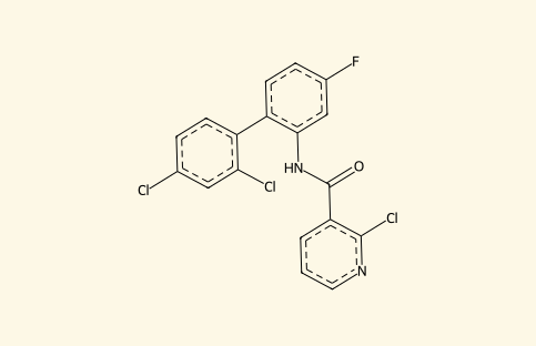 O=C(Nc1cc(F)ccc1-c1ccc(Cl)cc1Cl)c1cccnc1Cl